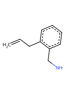 C=CCc1ccccc1C[NH]